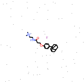 C[N+](C)(C)CCNC(=O)CCOc1ccc(C23CC4CC(CC(C4)C2)C3)cc1.[I-]